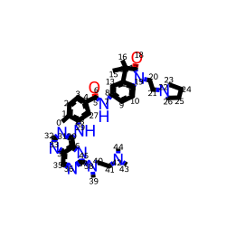 Cc1ccc(C(=O)Nc2ccc3c(c2)C(C)(C)C(=O)N3CCN2CCCC2)cc1Nc1ncnc2cnc(N(C)CCN(C)C)nc12